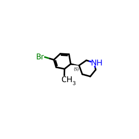 CC1C=C(Br)C=CC1[C@@H]1CCCNC1